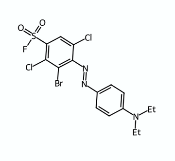 CCN(CC)c1ccc(N=Nc2c(Cl)cc(S(=O)(=O)F)c(Cl)c2Br)cc1